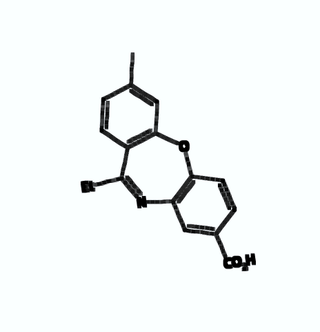 CCC1=Nc2cc(C(=O)O)ccc2Oc2cc(C)ccc21